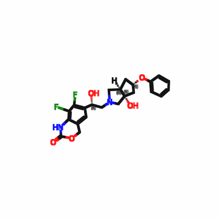 O=C1Nc2c(cc([C@H](O)CN3C[C@H]4C[C@H](Oc5ccccc5)C[C@@]4(O)C3)c(F)c2F)CO1